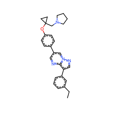 CCc1cccc(-c2cnn3cc(-c4ccc(OC5(CN6CCCC6)CC5)cc4)cnc23)c1